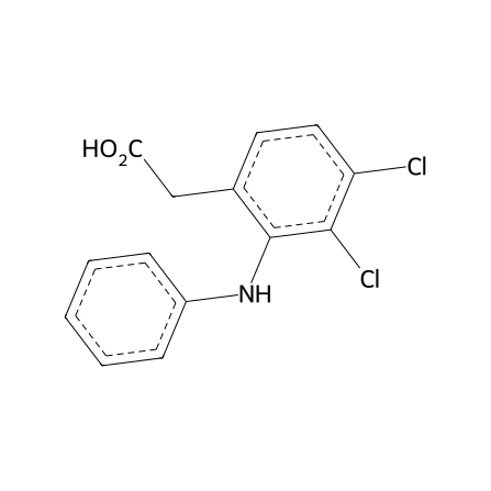 O=C(O)Cc1ccc(Cl)c(Cl)c1Nc1ccccc1